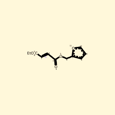 CCOC(=O)/C=C/C(=O)OCc1ccco1